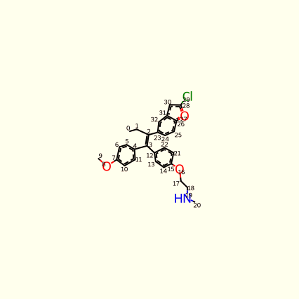 CCC(=C(c1ccc(OC)cc1)c1ccc(OCCNC)cc1)c1ccc2oc(Cl)cc2c1